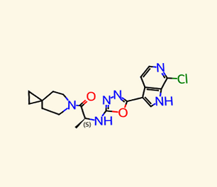 C[C@H](Nc1nnc(-c2c[nH]c3c(Cl)nccc23)o1)C(=O)N1CCC2(CC1)CC2